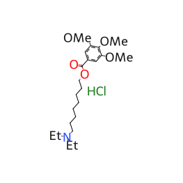 CCN(CC)CCCCCCCCOC(=O)c1cc(OC)c(OC)c(OC)c1.Cl